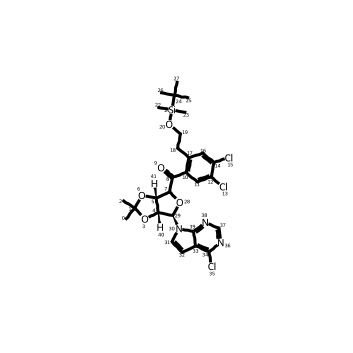 CC1(C)O[C@@H]2[C@H](O1)C(C(=O)c1cc(Cl)c(Cl)cc1CCO[Si](C)(C)C(C)(C)C)O[C@H]2n1ccc2c(Cl)ncnc21